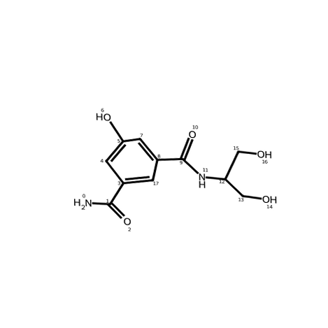 NC(=O)c1cc(O)cc(C(=O)NC(CO)CO)c1